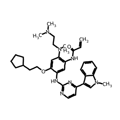 C=CC(=O)Nc1cc(Nc2nccc(-c3cn(C)c4ccccc34)n2)c(OCCC2CCCC2)cc1N(C)CCN(C)C